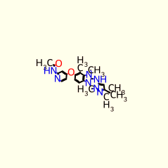 CC(=O)Nc1cc(Oc2ccc3nc(Nc4cc(C(C)(C)C)nn4C)n(C)c3c2C)ccn1